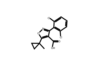 CC1(c2onc(-c3c(Cl)cccc3Cl)c2C(=O)O)CC1